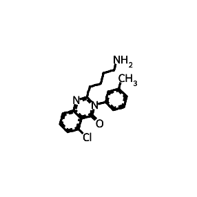 Cc1cccc(-n2c(CCCCN)nc3cccc(Cl)c3c2=O)c1